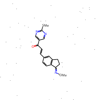 CON=C1CCc2cc(C=CC(=O)c3cnc(SC)nc3)ccc21